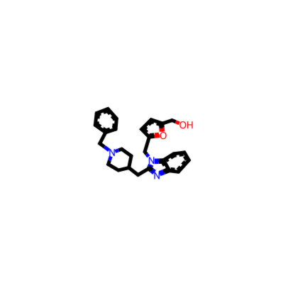 OCc1ccc(Cn2c(CC3CCN(Cc4ccccc4)CC3)nc3ccccc32)o1